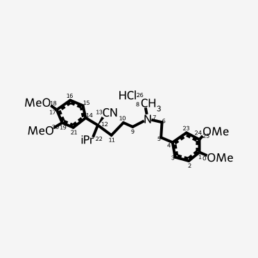 COc1ccc(CCN(C)CCC[C@@](C#N)(c2ccc(OC)c(OC)c2)C(C)C)cc1OC.Cl